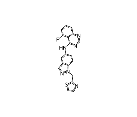 Fc1cccc2ncnc(Nc3ccc4c(cnn4Cc4nccs4)c3)c12